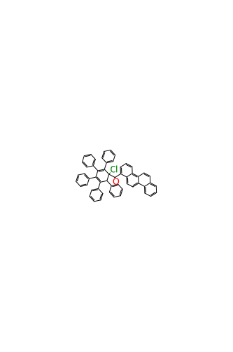 O=C(c1cccc2c1ccc1c3ccccc3ccc21)C1(Cl)C(c2ccccc2)=C(c2ccccc2)C(c2ccccc2)=C(c2ccccc2)C1c1ccccc1